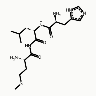 CSCC[C@H](N)C(=O)NC(=O)[C@H](CC(C)C)NC(=O)[C@@H](N)Cc1cnc[nH]1